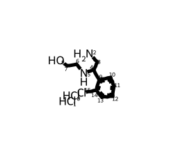 Cl.Cl.NCC(NCCO)c1ccccc1Cl